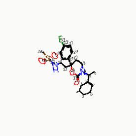 CC(C1CCCCC1)N1CCC(CCNS(C)(=O)=O)(c2ccc(F)cc2)OC1=O